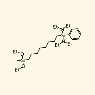 CCO[Si](C)(CCCCCCCC[Si](c1ccccc1)(N(CC)CC)N(CC)CC)OCC